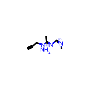 C#CCN(N)/C(C)=N/C=N\C